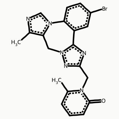 Cc1ncn2c1Cn1nc(Cn3c(C)cccc3=O)nc1-c1cc(Br)ccc1-2